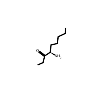 CCCCC[C@@H](N)C(=O)CC